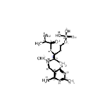 CCCCC(C)C(=O)S/C(CCOP(=O)(O)O)=C(/C)N(C=O)Cc1cnc(C)nc1N